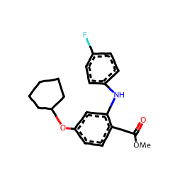 COC(=O)c1ccc(OC2CCCCC2)cc1Nc1ccc(F)cc1